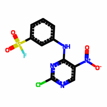 O=[N+]([O-])c1cnc(Cl)nc1Nc1cccc(S(=O)(=O)F)c1